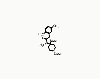 CNC1(N(C)C(=O)Cc2cc(C)ccc2C)CCN(OC)CC1